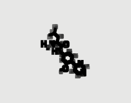 COc1cc(NC(=O)C(N)CC(C)C)ccc1-c1ccncn1